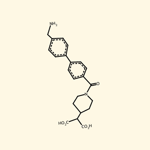 NCc1ccc(-c2ccc(C(=O)N3CCC(C(C(=O)O)C(=O)O)CC3)cc2)cc1